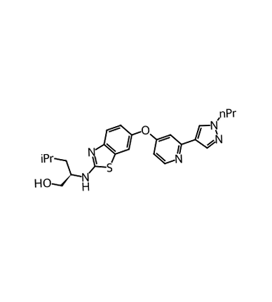 CCCn1cc(-c2cc(Oc3ccc4nc(N[C@@H](CO)CC(C)C)sc4c3)ccn2)cn1